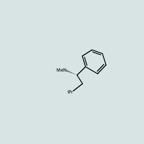 CN[C@@H](CC(C)C)c1ccccc1